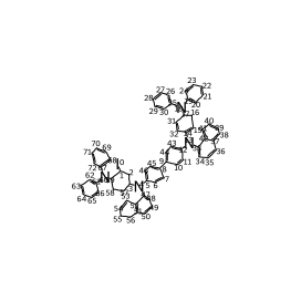 IC1CC(N(c2ccc(-c3ccc(N(C4=CCC(N(c5ccccc5)c5ccccc5)C=C4)c4cccc5ccccc45)cc3)cc2)c2cccc3c2C=CCC3)CCC1N(c1ccccc1)c1ccccc1